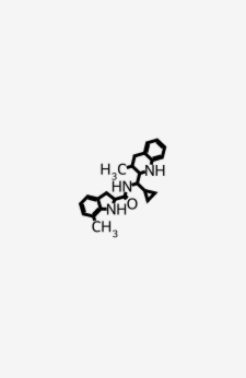 Cc1cccc2c1NC(C(=O)NC(C1CC1)C1Nc3ccccc3CC1C)C2